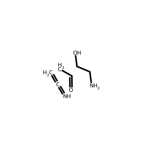 C=C=N.CC=O.NCCO